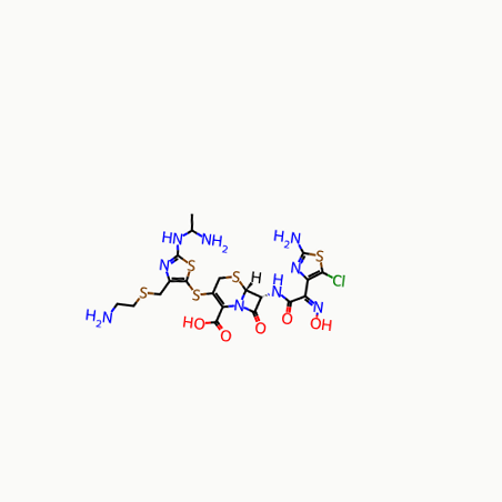 CC(N)Nc1nc(CSCCN)c(SC2=C(C(=O)O)N3C(=O)[C@@H](NC(=O)/C(=N\O)c4nc(N)sc4Cl)[C@H]3SC2)s1